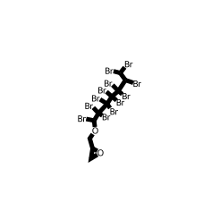 BrC(Br)C(Br)C(Br)(Br)C(Br)(Br)C(Br)(Br)C(Br)(Br)C(Br)OCC1CO1